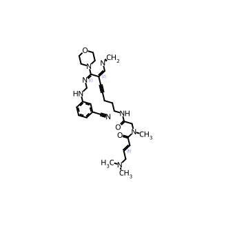 C=N/C=C(C#CCCCNC(=O)CN(C)C(=O)/C=C/CN(C)C)\C(=N/CNc1cccc(C#N)c1)N1CCOCC1